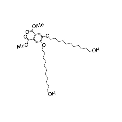 COC(=O)c1cc(OCCCCCCCCCCCO)c(OCCCCCCCCCCCO)cc1C(=O)OC